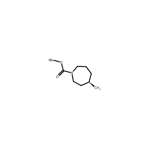 C[C@@H]1CCCN(C(=O)OC(C)(C)C)CC1